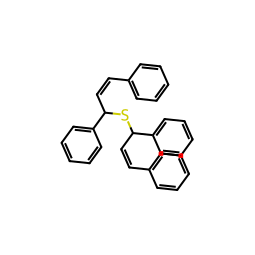 C(=C/C(SC(/C=C\c1ccccc1)c1ccccc1)c1ccccc1)/c1ccccc1